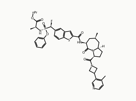 CCCOC(=O)[C@H](C)N[P@@](=O)(Oc1ccccc1)[C@@H](F)c1ccc2sc(C(=O)N[C@H]3C[C@@H](C)C[C@H]4CC[C@@H](C(=O)N5CC(c6cnccc6C)C5)N4C3=O)cc2c1